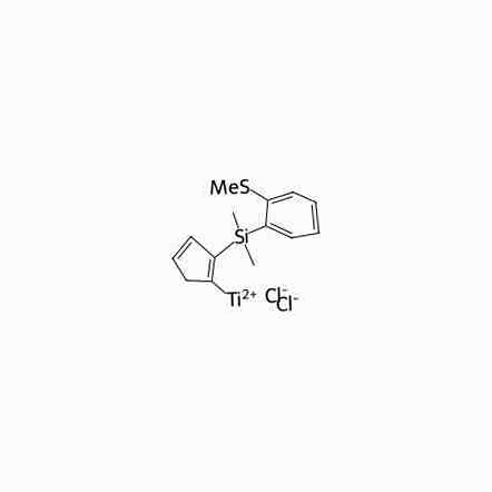 CSc1ccccc1[Si](C)(C)C1=[C]([Ti+2])CC=C1.[Cl-].[Cl-]